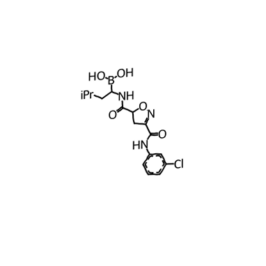 CC(C)CC(NC(=O)C1CC(C(=O)Nc2cccc(Cl)c2)=NO1)B(O)O